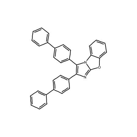 c1ccc(-c2ccc(-c3nc4oc5ccccc5n4c3-c3ccc(-c4ccccc4)cc3)cc2)cc1